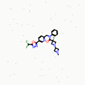 CN1CC(N2CC(F)(C(=O)N(Cc3ccc(-c4nnc(C(F)F)o4)cn3)c3ccccc3)C2)C1